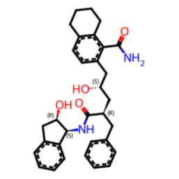 NC(=O)c1c(C[C@@H](O)C[C@@H](Cc2ccccc2)C(=O)N[C@H]2c3ccccc3C[C@H]2O)ccc2c1CCCC2